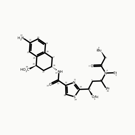 CC[C@H](C)CC(=O)N(CC)C(C[C@@H](OC(C)=O)c1nc(C(=O)N[C@H]2Cc3ccc(N)cc3[C@H](C(=O)O)C2)cs1)C(C)C